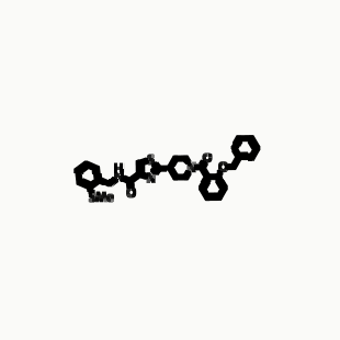 CSc1ccccc1CNC(=O)c1csc(C2CCN(C(=O)c3ccccc3OCc3ccccc3)CC2)n1